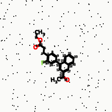 CCOC(=O)CCc1ccc(-c2cc(C(C)=O)cc3ccccc23)cc1F